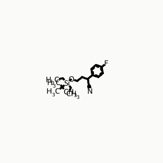 CC[Si](CC)(OCCC(C#N)c1ccc(F)cc1)C(C)(C)C